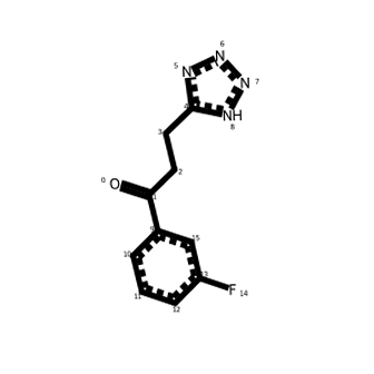 O=C(CCc1nnn[nH]1)c1cccc(F)c1